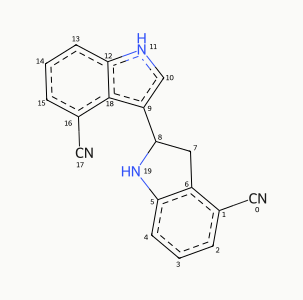 N#Cc1cccc2c1CC(c1c[nH]c3cccc(C#N)c13)N2